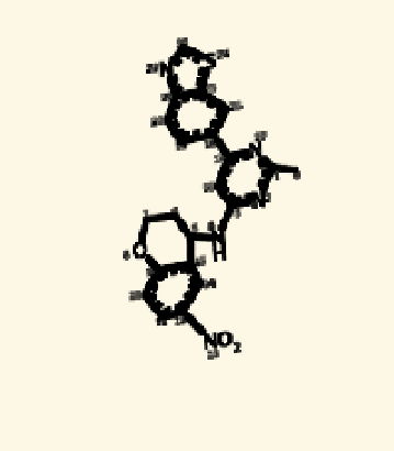 Cc1nc(NC2CCOc3ccc([N+](=O)[O-])cc32)cc(-c2ccc3ncsc3c2)n1